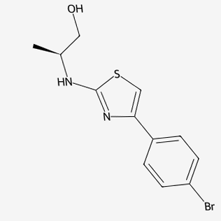 C[C@@H](CO)Nc1nc(-c2ccc(Br)cc2)cs1